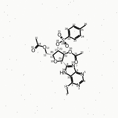 CSc1ncnc2nc([C@@H]3O[C@H](COC(C)=O)[C@H](OS(=O)(=O)c4ccc(C)cc4)[C@H]3OC(C)=O)[nH]c12